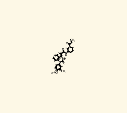 C=CC(=O)N1CCCC(NC(=O)c2sc3nccc4c3c2NC(=O)N4c2ccc(OC(C)C)c(C)c2)C1